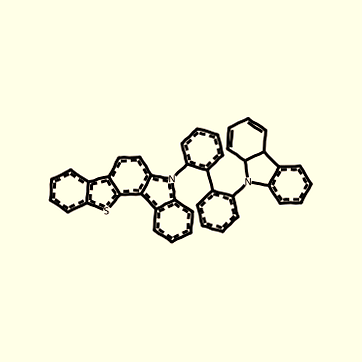 C1=CC2c3ccccc3N(c3ccccc3-c3ccccc3-n3c4ccccc4c4c5sc6ccccc6c5ccc43)C2C=C1